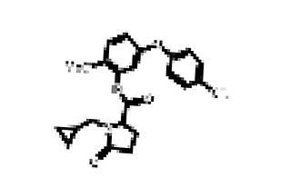 COc1ccc(Oc2ccc(C(F)(F)F)cc2)cc1NC(=O)C1CCC(=O)N1CC1CC1